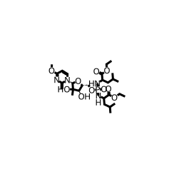 C=C1N=C(OC)C=CN1[C@@H]1O[C@H](COP(=O)(NC(CC(C)C)C(=O)OCC)NC(CC(C)C)C(=O)OCC)[C@H](O)C1(C)O